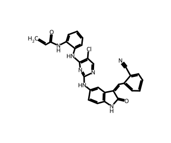 C=CC(=O)Nc1ccccc1Nc1nc(Nc2ccc3c(c2)C(=Cc2ccccc2C#N)C(=O)N3)ncc1Cl